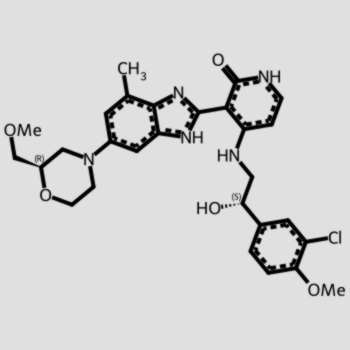 COC[C@H]1CN(c2cc(C)c3nc(-c4c(NC[C@@H](O)c5ccc(OC)c(Cl)c5)cc[nH]c4=O)[nH]c3c2)CCO1